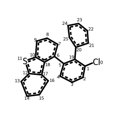 Clc1cccc(-c2cccc3sc4ccccc4c23)c1-c1ccccc1